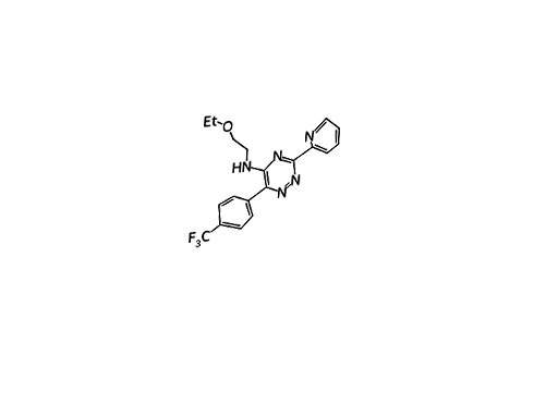 CCOCCNc1nc(-c2ccccn2)nnc1-c1ccc(C(F)(F)F)cc1